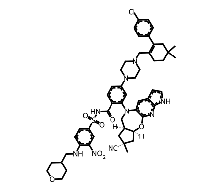 CC1(C)CCC(CN2CCN(c3ccc(C(=O)NS(=O)(=O)c4ccc(NCC5CCOCC5)c([N+](=O)[O-])c4)c(N4C[C@@H]5C[C@@](C)(C#N)C[C@@H]5Oc5nc6[nH]ccc6cc54)c3)CC2)=C(c2ccc(Cl)cc2)C1